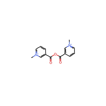 C[n+]1cccc(C(=O)OC(=O)c2ccc[n+](C)c2)c1